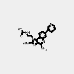 CCCCc1nc2c(N)nc3cc(-c4cccnc4)ccc3c2n1CCNC(=O)C(C)C